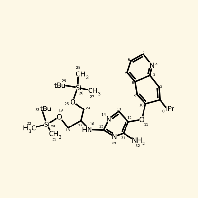 CC(C)c1cc2ncccc2cc1Oc1cnc(NC(CO[Si](C)(C)C(C)(C)C)CO[Si](C)(C)C(C)(C)C)nc1N